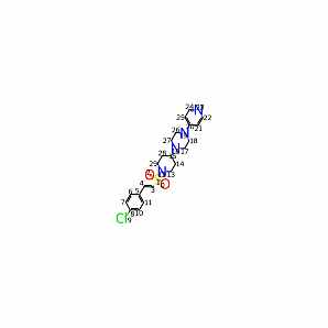 O=S(=O)(/C=C/c1ccc(Cl)cc1)N1CCC(N2CCN(c3ccncc3)CC2)CC1